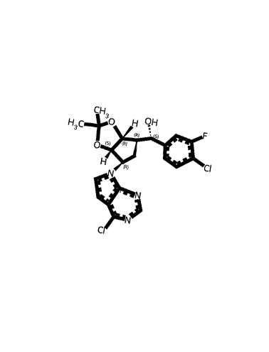 CC1(C)O[C@@H]2[C@@H]([C@H](O)c3ccc(Cl)c(F)c3)C[C@@H](n3ccc4c(Cl)ncnc43)[C@@H]2O1